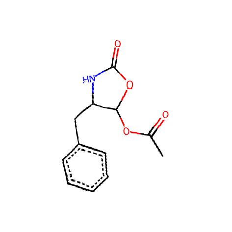 CC(=O)OC1OC(=O)NC1Cc1ccccc1